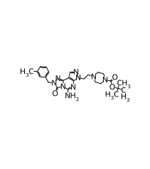 Cc1cccc(Cn2nc3c4cnn(CCN5CCN(C(=O)OC(C)(C)C)CC5)c4nc(N)n3c2=O)c1